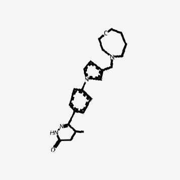 CC1CC(=O)NN=C1c1ccc(-n2ccc(CN3CCCCCCC3)c2)cc1